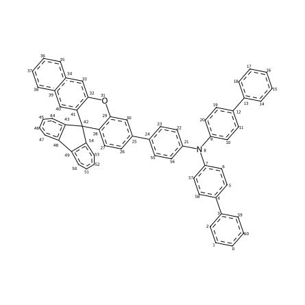 c1ccc(-c2ccc(N(c3ccc(-c4ccccc4)cc3)c3ccc(-c4ccc5c(c4)Oc4cc6ccccc6cc4C54c5ccccc5-c5ccccc54)cc3)cc2)cc1